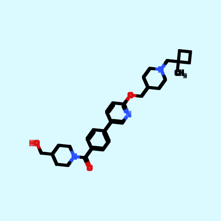 CC1(CN2CCC(COc3ccc(-c4ccc(C(=O)N5CCC(CO)CC5)cc4)cn3)CC2)CCC1